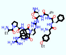 CCOc1ccc(C[C@H](N)C(=O)N[C@@H](Cc2ccccc2)C(=O)N[C@H](C(=O)N[C@@H](CC(N)=O)C(=O)NC(=N)NCCC[C@@](C(N)=O)(N(C(C)=O)C(=O)[C@H](CCCNC(=N)N)NC(=O)[C@@H]2CCCN2C(=O)C(N)CC)C23CC4CC(CC(C4)C2)C3)C(C)C)cc1